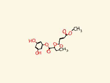 CCOC(=O)C=CC(=O)OC(CC)C(=O)Oc1cc(O)cc(O)c1